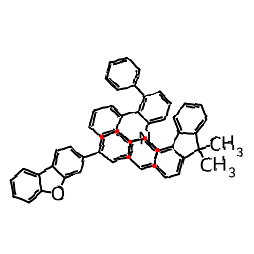 CC1(C)c2ccccc2-c2c(N(c3ccc(-c4ccc5c(c4)oc4ccccc45)cc3)c3cccc(-c4ccccc4)c3-c3ccccc3-c3ccccc3)cccc21